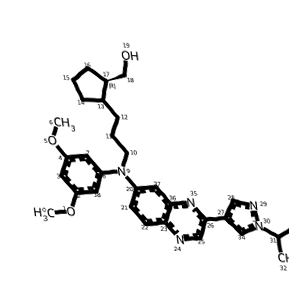 COc1cc(OC)cc(N(CCCC2CCC[C@H]2CO)c2ccc3ncc(-c4cnn(C(C)C)c4)nc3c2)c1